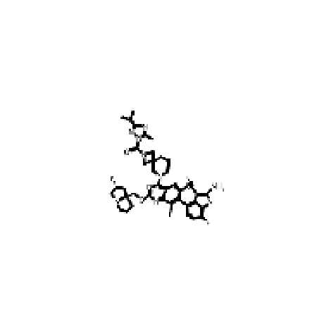 Cc1nc(C(C)C)nn1C(=O)N1CC2(CCCN(c3nc(OC[C@@]45CCCN4C[C@H](F)C5)nc4c(F)c(-c5ccc(F)c6sc(N)c(C#N)c56)c(Cl)cc34)C2)C1